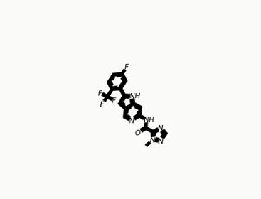 Cn1ncnc1C(=O)Nc1cc2[nH]c(-c3cc(F)ccc3C(F)(F)F)cc2cn1